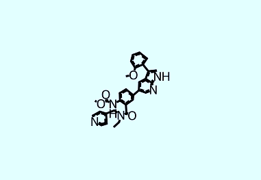 CCN(Cc1ccncc1)C(=O)c1cc(-c2cnc3[nH]cc(-c4ccccc4OC)c3c2)ccc1NC(=O)OC